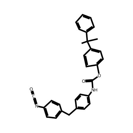 CC(C)(c1ccccc1)c1ccc(OC(=O)Nc2ccc(Cc3ccc(N=C=O)cc3)cc2)cc1